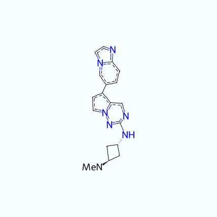 CN[C@H]1C[C@H](Nc2ncc3c(-c4ccc5nccn5c4)ccn3n2)C1